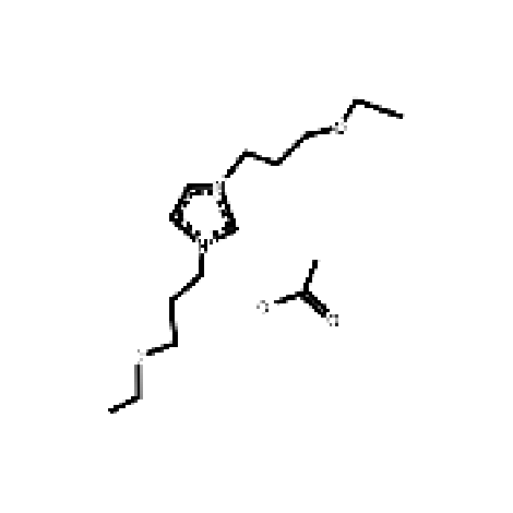 CC(=O)[O-].CCOCCCn1cc[n+](CCCOCC)c1